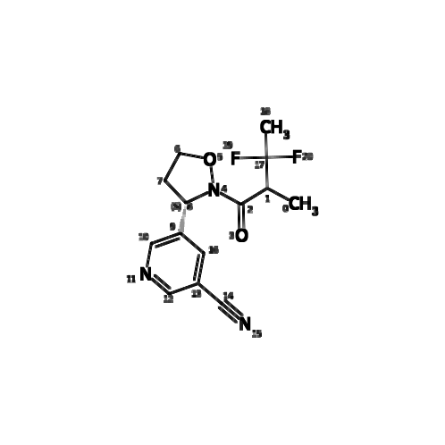 CC(C(=O)N1OCC[C@H]1c1cncc(C#N)c1)C(C)(F)F